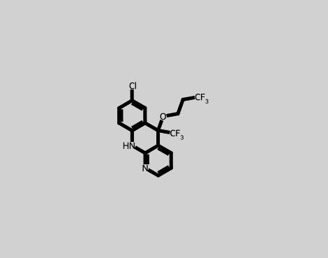 FC(F)(F)CCOC1(C(F)(F)F)c2cc(Cl)ccc2Nc2ncccc21